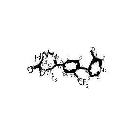 Cc1cnccc1-c1ccc(C2=NNC(=O)O[C@H]2C)cc1C(F)(F)F